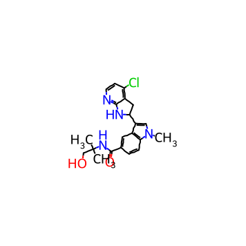 Cn1cc(C2Cc3c(Cl)ccnc3N2)c2cc(C(=O)NC(C)(C)CO)ccc21